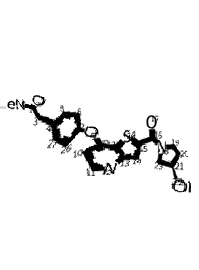 CNC(=O)Cc1ccc(Oc2ccnc3cc(C(=O)N4CC[C@@H](O)C4)sc23)cc1